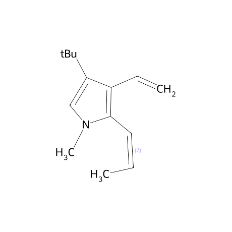 C=Cc1c(C(C)(C)C)cn(C)c1/C=C\C